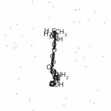 CC(C)(C)OC(=O)NCCOCCOCCOCCOCCC(=O)N1CCN(c2cc(-c3ccccc3O)nnc2N)CC1